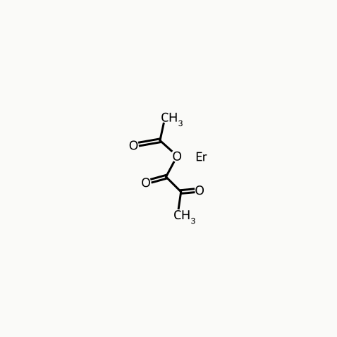 CC(=O)OC(=O)C(C)=O.[Er]